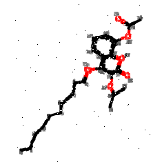 CCCCCCCCCCOc1c(OC(C)C)c(=O)oc2c(OC(C)=O)cccc12